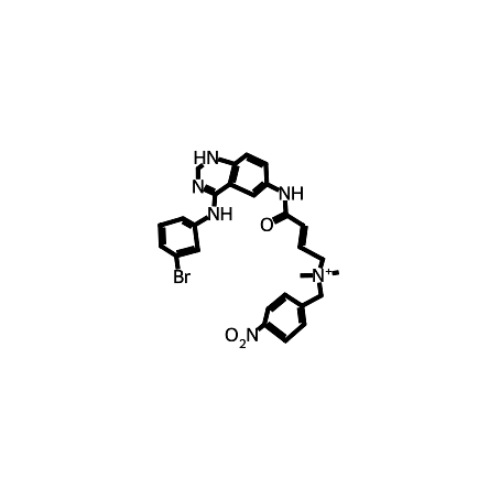 C[N+](C)(C/C=C/C(=O)Nc1ccc2c(c1)C(Nc1cccc(Br)c1)=NCN2)Cc1ccc([N+](=O)[O-])cc1